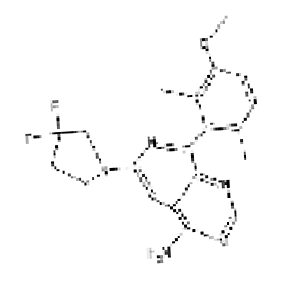 COc1ccc(C)c(-c2nc(N3CCC(F)(F)C3)cc3c(N)ncnc23)c1C